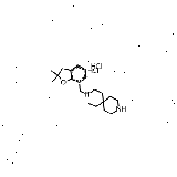 CC1(C)Cc2cccc(CN3CCC4(CCNCC4)CC3)c2O1.Cl.Cl